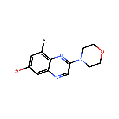 CC(=O)c1cc(Br)cc2ncc(N3CCOCC3)nc12